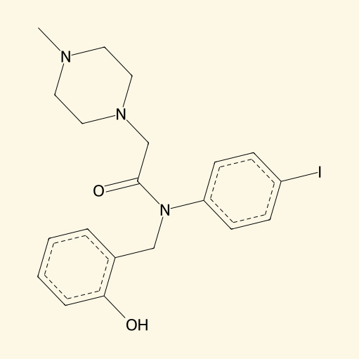 CN1CCN(CC(=O)N(Cc2ccccc2O)c2ccc(I)cc2)CC1